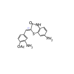 CC(=O)Oc1ccc(/C=C2\Sc3cc(P)ccc3NC2=O)cc1N